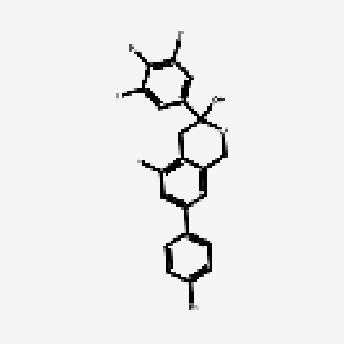 CCc1ccc(-c2cc(F)c3c(c2)COC(O)(c2cc(F)c(F)c(F)c2)C3)cc1